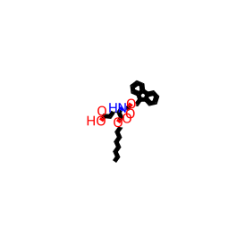 CCCCCCCCOC(=O)[C@H](CCC(=O)O)NC(=O)OCC1c2ccccc2-c2ccccc21